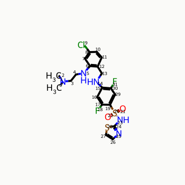 CN(C)CCNc1cc(Cl)ccc1CNc1cc(F)c(S(=O)(=O)Nc2nccs2)cc1F